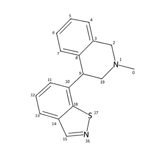 CN1Cc2ccccc2C(c2cccc3cnsc23)C1